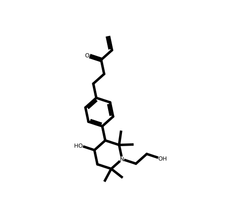 C=CC(=O)CCc1ccc(C2C(O)CC(C)(C)N(CCO)C2(C)C)cc1